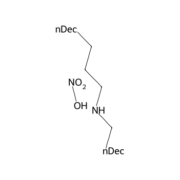 CCCCCCCCCCCCCNCCCCCCCCCCC.O=[N+]([O-])O